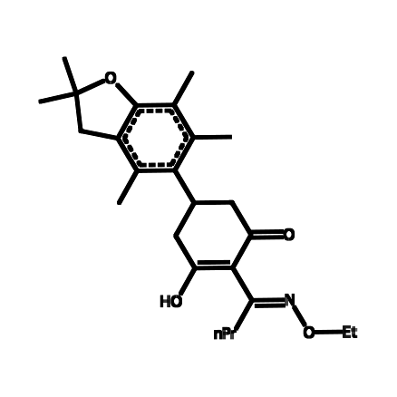 CCCC(=NOCC)C1=C(O)CC(c2c(C)c(C)c3c(c2C)CC(C)(C)O3)CC1=O